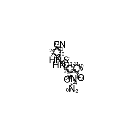 CN(C)CCN1C(=O)c2cccc3cc(NC(=S)Nc4ccc(C#N)cc4)cc(c23)C1=O